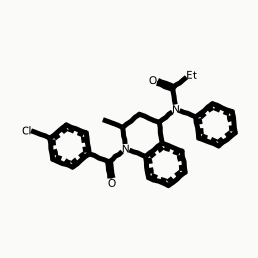 CCC(=O)N(c1ccccc1)C1CC(C)N(C(=O)c2ccc(Cl)cc2)c2ccccc21